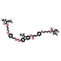 C=C(C)C(=O)OCCCCOc1ccc(C=COCOc2ccc3c(c2)C(C)c2cc(OC(=O)C=Cc4ccc(OCCCCOC(=O)C(=C)C)cc4)ccc2-3)cc1